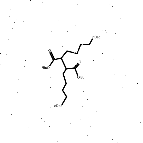 CCCCCCCCCCCCCCC(C(=O)OCC(C)C)C(CCCCCCCCCCCCCC)C(=O)OCC(C)C